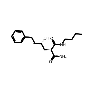 CCCCNC(=O)[C@H](C[C@@H](O)[CH]Cc1ccccc1)C(N)=O